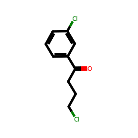 O=C(CCCCl)c1cccc(Cl)c1